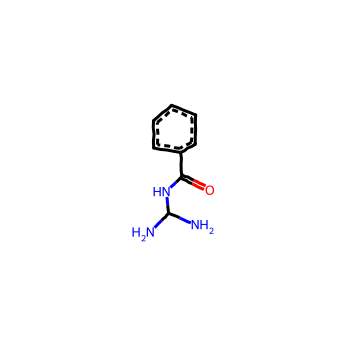 NC(N)NC(=O)c1ccccc1